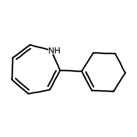 C1=CC=C(C2=CCCCC2)NC=C1